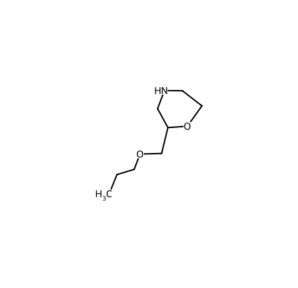 CCCOCC1CNCCO1